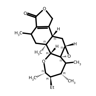 CC[C@H]1[C@H](C)O[C@@H]2[C@@]3(C)CC(C)C4=C(COC4=O)[C@@H]3C[C@@H]3O[C@@]32C(C)[C@@H]1C